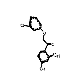 O=C(COc1cccc(Cl)c1)c1ccc(O)cc1O